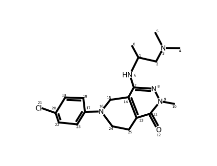 CC(CN(C)C)Nc1nn(C)c(=O)c2c1CN(c1ccc(Cl)cc1)CC2